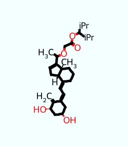 C=C1/C(=C\C=C2/CCC[C@]3(C)C(C(C)OCC(=O)OC(C(C)C)C(C)C)=CC[C@@H]23)C[C@@H](O)C[C@@H]1O